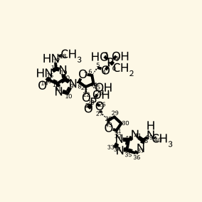 C=P(O)(O)OC[C@H]1O[C@@H](n2cnc3c(=O)[nH]c(NC)nc32)[C@H](OP(=O)(O)OC[C@@H]2CC[C@H](n3cnc4cnc(NC)nc43)O2)[C@@H]1O